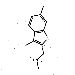 CNCc1oc2cc(C)ccc2c1C